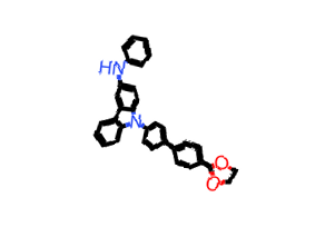 c1ccc(Nc2ccc3c(c2)c2ccccc2n3-c2ccc(-c3ccc(C4OCCO4)cc3)cc2)cc1